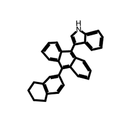 c1ccc2c(-c3c4ccccc4c(-c4ccc5c(c4)CCCC5)c4ccccc34)c[nH]c2c1